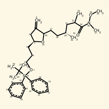 C=C1C[C@H](CCCO[Si](c2ccccc2)(c2ccccc2)C(C)(C)C)OC1CC[C@@H](C)CC(C)C(=O)N(C)OC